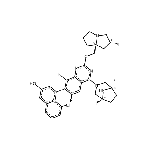 C[C@@]12CC[C@H](CN(c3nc(OC[C@@]45CCCN4C[C@H](F)C5)nc4c(F)c(-c5cc(O)cc6cccc(Cl)c56)c(F)cc34)C1)N2